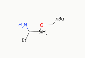 CCCCCO[SiH2]C(N)CC